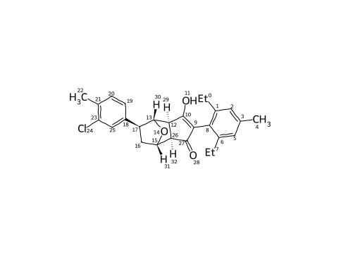 CCc1cc(C)cc(CC)c1C1=C(O)[C@@H]2[C@@H]3O[C@@H](C[C@H]3c3ccc(C)c(Cl)c3)[C@@H]2C1=O